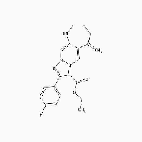 C=C1CCCNc2cn3nc(-c4ccc(F)cc4)c(C(=O)OCC)c3cc21